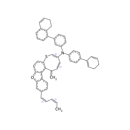 C=C1/C=C\C(N(c2ccc(C3=CCCC=C3)cc2)c2cccc(-c3cccc4c3CCC=C4)c2)=C/Sc2ccc3oc4cc(/C=C\C=C/C)ccc4c3c21